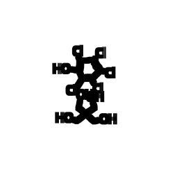 OCC(CO)(CO)CO.Oc1c(Cl)c(Cl)c(Cl)c(Cl)c1Cl